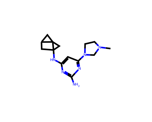 CN1CCN(c2cc(NC34CC5CC53C4)nc(N)n2)C1